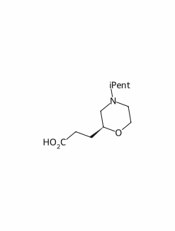 CCCC(C)N1CCO[C@@H](CCC(=O)O)C1